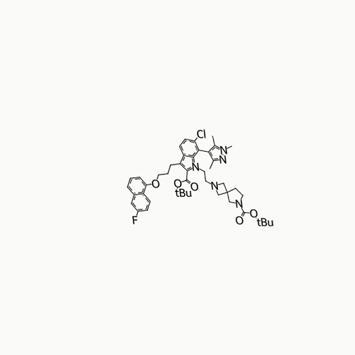 Cc1nn(C)c(C)c1-c1c(Cl)ccc2c(CCCOc3cccc4cc(F)ccc34)c(C(=O)OC(C)(C)C)n(CCN3CC4(CCN(C(=O)OC(C)(C)C)C4)C3)c12